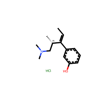 CC=C(c1cccc(O)c1)[C@@H](C)CN(C)C.Cl